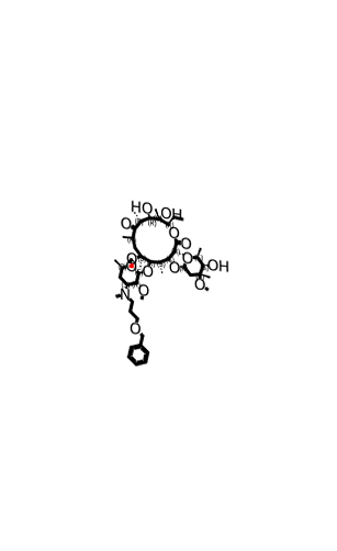 CC[C@H]1OC(=O)[C@H](C)[C@@H](O[C@H]2C[C@@](C)(OC)[C@@H](O)[C@H](C)O2)[C@H](C)[C@@H](O[C@@H]2O[C@H](C)C[C@H](N(C)CCCOCc3ccccc3)[C@H]2OC)[C@@](C)(OC)C[C@@H](C)C(=O)[C@H](C)[C@@H](O)[C@]1(C)O